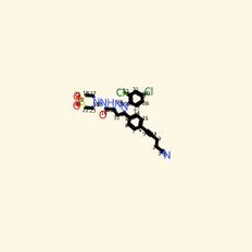 N#CCCC#Cc1ccc(C2CC(C(=O)NN3CCS(=O)(=O)CC3)=NN2c2ccc(Cl)cc2Cl)cc1